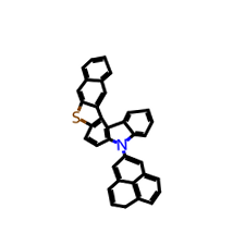 C1=Cc2cc(-n3c4ccccc4c4c5c(ccc43)sc3cc4ccccc4cc35)cc3cccc(c23)C1